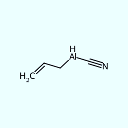 C=C[CH2][AlH][C]#N